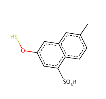 Cc1ccc2c(S(=O)(=O)O)cc(OS)cc2c1